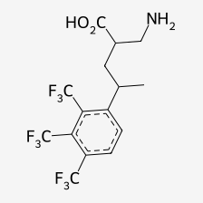 CC(CC(CN)C(=O)O)c1ccc(C(F)(F)F)c(C(F)(F)F)c1C(F)(F)F